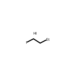 CCCCI.I